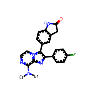 CCN(CC)c1nccn2c(-c3ccc4c(c3)CC(=O)N4)c(-c3ccc(F)cc3)nc12